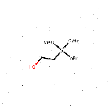 CCC[Si](CCO)(OC)OC